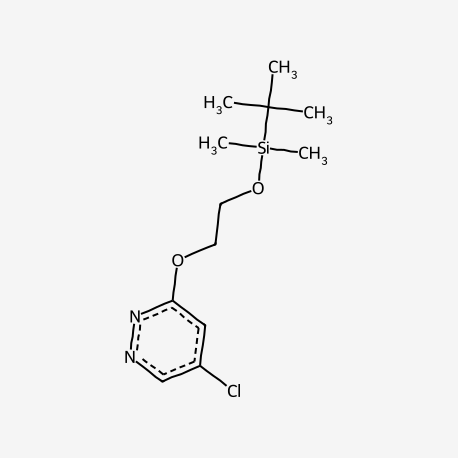 CC(C)(C)[Si](C)(C)OCCOc1cc(Cl)cnn1